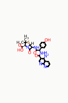 CC1(C)S[C@@H]2C(NC(=O)C(NC(=O)c3cnc4ncccc4c3N)c3ccc(O)cc3)C(=O)N2[C@H]1C(=O)O